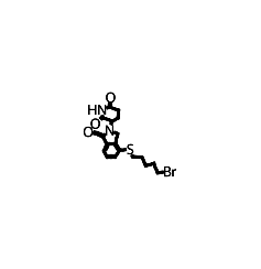 O=C=C1c2cccc(SCCCCCBr)c2CN1C1CCC(=O)NC1=O